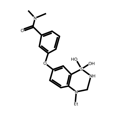 CCN1CNS(O)(O)c2cc(Oc3cccc(C(=O)N(C)C)c3)ccc21